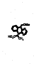 COCN1c2ccccc2N(C(C)C(=O)O)c2nccnc21